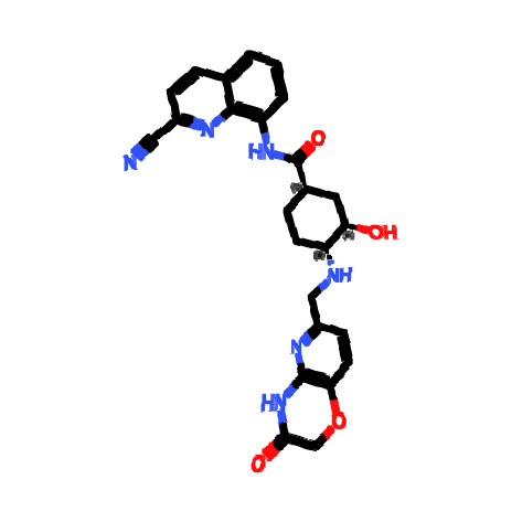 N#Cc1ccc2cccc(NC(=O)[C@@H]3CC[C@@H](NCc4ccc5c(n4)NC(=O)CO5)[C@H](O)C3)c2n1